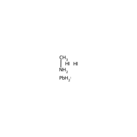 CN.I.I.[PbH2]